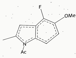 COc1ccc2c(cc(C)n2C(C)=O)c1F